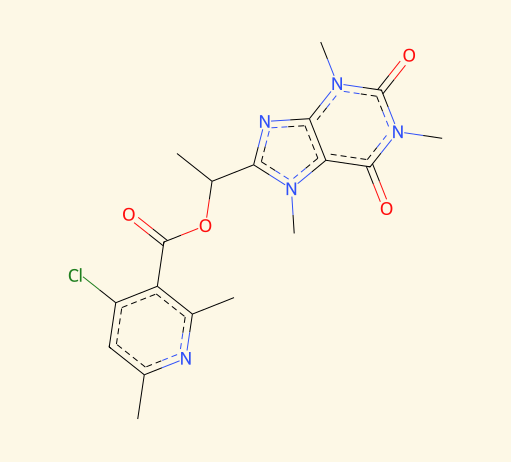 Cc1cc(Cl)c(C(=O)OC(C)c2nc3c(c(=O)n(C)c(=O)n3C)n2C)c(C)n1